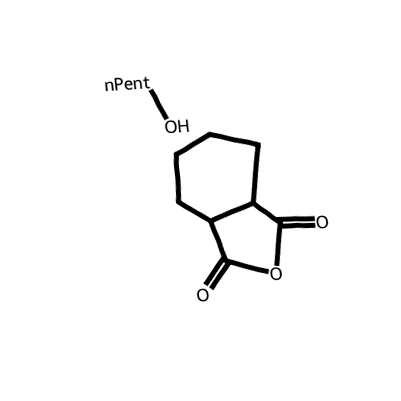 CCCCCO.O=C1OC(=O)C2CCCCC12